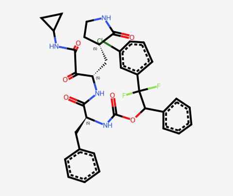 O=C(N[C@@H](Cc1ccccc1)C(=O)N[C@@H](C[C@@H]1CCNC1=O)C(=O)C(=O)NC1CC1)OC(c1ccccc1)C(F)(F)c1cccc(Cl)c1